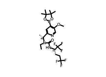 CCN(C(=O)N[C@@H](CCC(F)(F)F)C(F)(F)F)[C@H](C)c1cc(B2OC(C)(C)C(C)(C)O2)c(OC)cn1